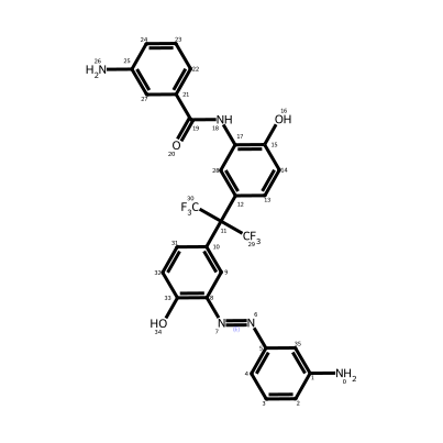 Nc1cccc(/N=N/c2cc(C(c3ccc(O)c(NC(=O)c4cccc(N)c4)c3)(C(F)(F)F)C(F)(F)F)ccc2O)c1